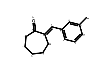 Cc1cccc(/C=C2\CCCCCC2=O)c1